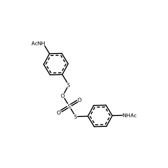 CC(=O)Nc1ccc(SOS(=O)(=O)Sc2ccc(NC(C)=O)cc2)cc1